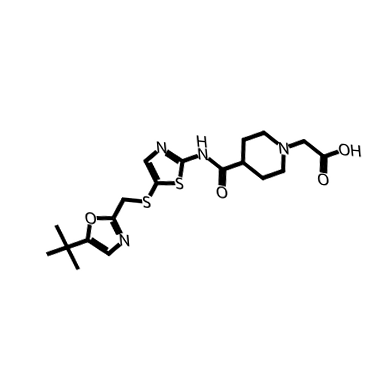 CC(C)(C)c1cnc(CSc2cnc(NC(=O)C3CCN(CC(=O)O)CC3)s2)o1